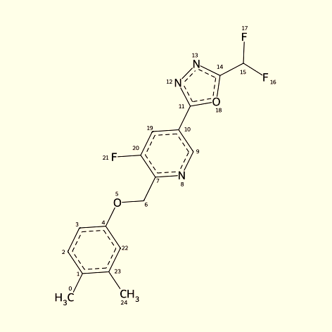 Cc1ccc(OCc2ncc(-c3nnc(C(F)F)o3)cc2F)cc1C